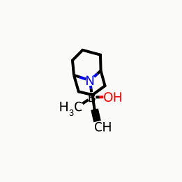 C#CC1CC2CCCC(C1)N2B(C)O